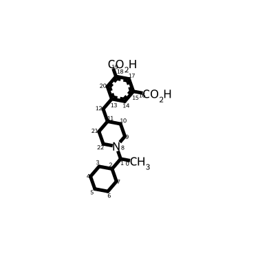 CC(C1CCCCC1)N1CCC(Cc2cc(C(=O)O)cc(C(=O)O)c2)CC1